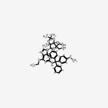 CCOc1nc(NC(c2ccccc2)(c2ccccc2)c2ccc(OC)cc2)nc2c1ncn2[C@@H]1OC(CO)(CO)[C@H]2OC(C)(C)O[C@]21C